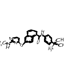 CNc1nccc(Oc2ccc3c(C(=O)Nc4ccc(C(C)(C)C)cc4)cccc3c2)n1